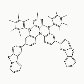 Cc1cc2c3c(c1)B(c1c(C)c(C)c(C)c(C)c1C)c1cc(-c4ccc5sc6ccccc6c5c4)ccc1N3c1ccc(-c3ccc4sc5ccccc5c4c3)cc1B2c1c(C)c(C)c(C)c(C)c1C